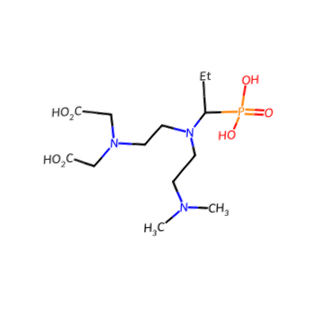 CCC(N(CCN(C)C)CCN(CC(=O)O)CC(=O)O)P(=O)(O)O